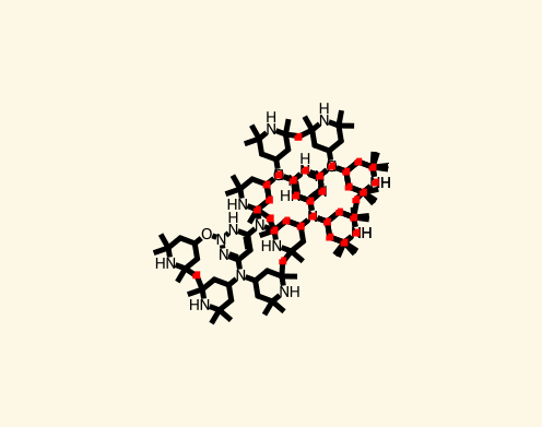 CC1(C)CC(ON2N=C(N(C3CC(C)(C)NC(C)(C)C3)C3CC(C)(C)NC(C)(C)C3)C=C(N(CCCN(C3=CC(N(C4CC(C)(C)NC(C)(C)C4)C4CC(C)(C)NC(C)(C)C4)=NN(OC4CC(C)(C)NC(C)(C)C4)N3)C3CC(C)(C)NC(C)(C)C3)CCCN(C3=CC(N(C4CC(C)(C)NC(C)(C)C4)C4CC(C)(C)NC(C)(C)C4)=NN(OC4CC(C)(C)NC(C)(C)C4)N3)C3CC(C)(C)NC(C)(C)C3)N2)CC(C)(C)N1